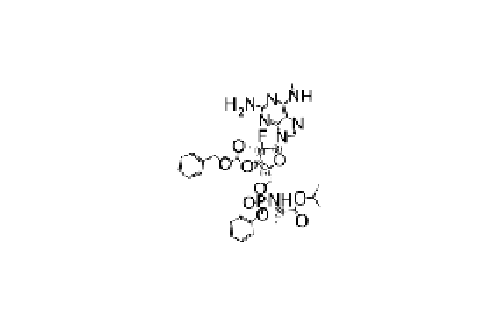 CNc1nc(N)nc2c1ncn2[C@@H]1O[C@H](COP(=O)(N[C@@H](C)C(=O)OC(C)C)Oc2ccccc2)[C@@H](OC(=O)OCc2ccccc2)[C@@]1(C)F